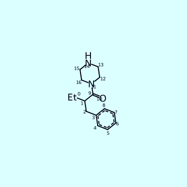 CCC(Cc1ccccc1)C(=O)N1CCNCC1